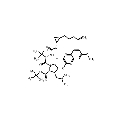 C=CCCCC1C[C@H]1OC(=O)N[C@H](C(=O)N1C[C@H](Oc2nc3cc(OC)ccc3nc2Cl)[C@@H](CC(C)C)[C@H]1C(=O)OC(C)(C)C)C(C)(C)C